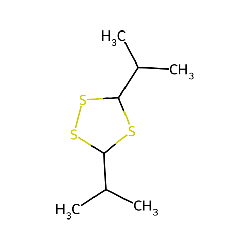 CC(C)C1SSC(C(C)C)S1